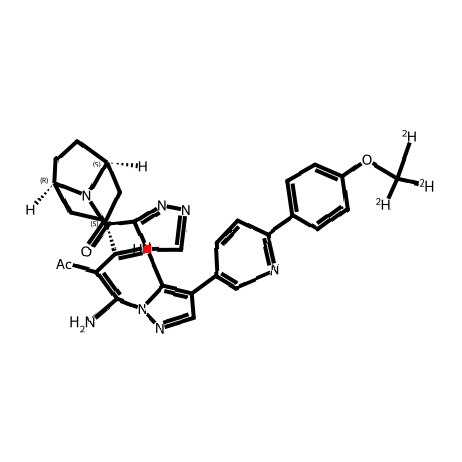 [2H]C([2H])([2H])Oc1ccc(-c2ccc(-c3cnn4c(N)c(C(C)=O)c([C@@H]5C[C@H]6CC[C@@H](C5)N6C(=O)c5nnc[nH]5)nc34)cn2)cc1